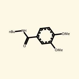 CCCCNC(=O)c1ccc(OC)c(OC)c1